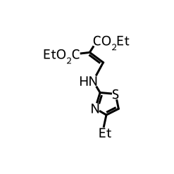 CCOC(=O)C(=CNc1nc(CC)cs1)C(=O)OCC